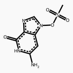 CS(=O)(=O)On1cnc2c(=O)[nH]c(N)cc21